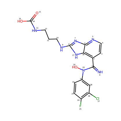 N=C(c1ccnc2nc(NCCCNC(=O)O)[nH]c12)N(O)c1ccc(F)c(Cl)c1